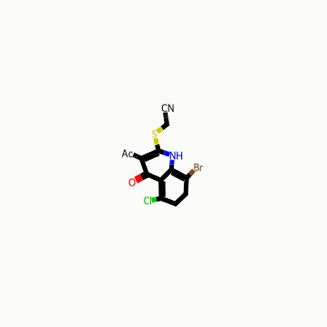 CC(=O)c1c(SCC#N)[nH]c2c(c1=O)=C(Cl)CCC=2Br